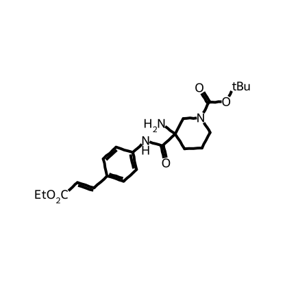 CCOC(=O)/C=C/c1ccc(NC(=O)C2(N)CCCN(C(=O)OC(C)(C)C)C2)cc1